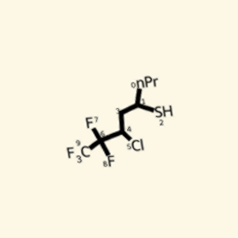 CCCC(S)CC(Cl)C(F)(F)C(F)(F)F